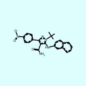 CC(C)(C)n1nc(-c2ccc([N+](=O)[O-])cc2)c(C(N)=O)c1Nc1ccc2ccccc2c1